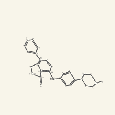 CN1CCN(c2ccc(Nc3ccc(-c4ccncc4)c4c3C(=O)NC4)cc2)CC1